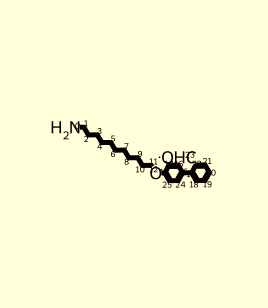 NCCCCCCCCCCCOc1ccc(-c2ccccc2[C]=O)cc1